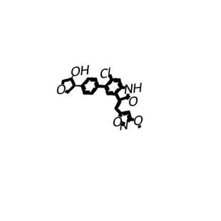 COc1cc(/C=C2\C(=O)Nc3cc(Cl)c(-c4ccc([C@H]5COC[C@@H]5O)cc4)cc32)on1